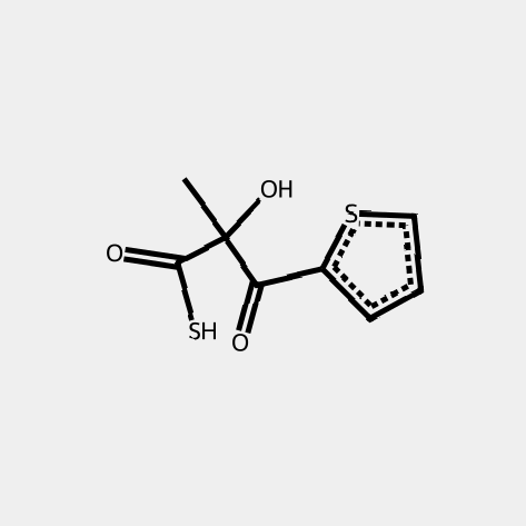 CC(O)(C(=O)S)C(=O)c1cccs1